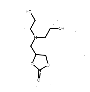 O=C1OCC(CN(CCO)CCO)O1